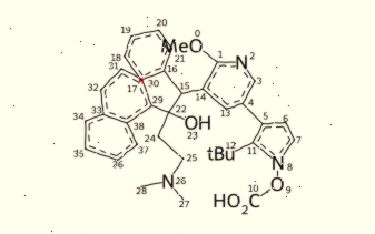 COc1ncc(-c2ccn(OC(=O)O)c2C(C)(C)C)cc1C(c1ccccc1)C(O)(CCN(C)C)c1cccc2ccccc12